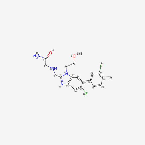 CCOCCn1c(CNCC(N)=O)nc2cc(F)c(-c3ccc(C)c(F)c3)cc21